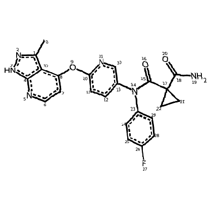 Cc1n[nH]c2nccc(Oc3ccc(N(C(=O)C4(C(N)=O)CC4)c4ccc(F)cc4)cn3)c12